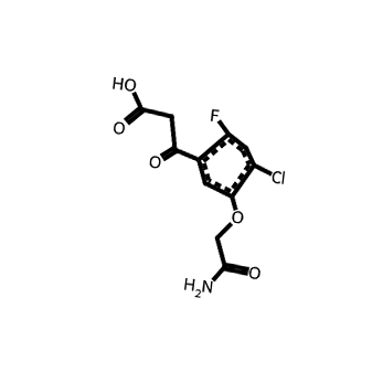 NC(=O)COc1cc(C(=O)CC(=O)O)c(F)cc1Cl